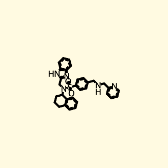 O=S(=O)(c1ccc(CNCc2ccccn2)cc1)N(Cc1nc2ccccc2[nH]1)C1CCCc2ccccc21